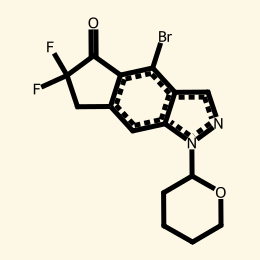 O=C1c2c(cc3c(cnn3C3CCCCO3)c2Br)CC1(F)F